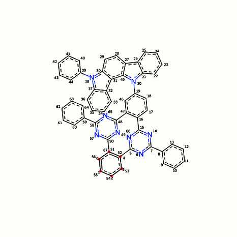 C1=CCCC(c2nc(-c3ccccc3)nc(-c3ccc(-n4c5ccccc5c5ccc6c(c7ccccc7n6-c6ccccc6)c54)cc3-c3nc(-c4ccccc4)nc(-c4ccccc4)n3)n2)=C1